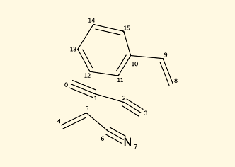 C#CC#C.C=CC#N.C=Cc1ccccc1